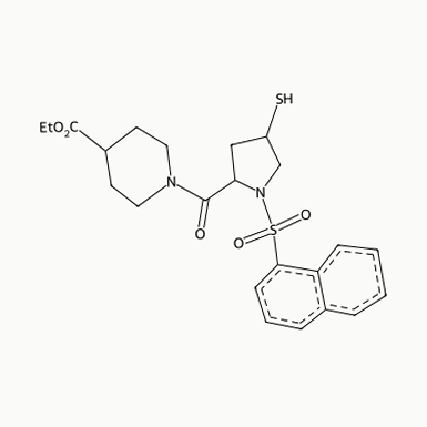 CCOC(=O)C1CCN(C(=O)C2CC(S)CN2S(=O)(=O)c2cccc3ccccc23)CC1